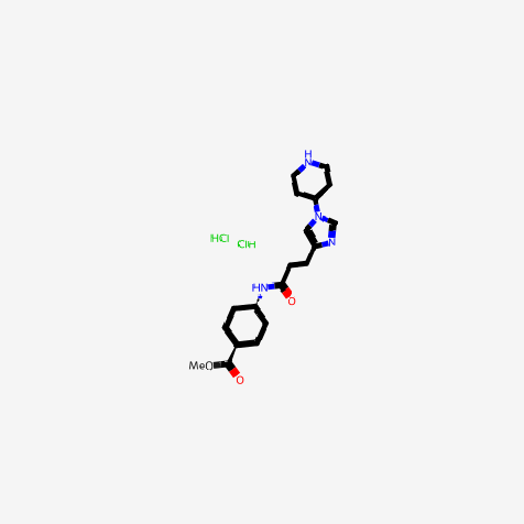 COC(=O)[C@H]1CC[C@H](NC(=O)CCc2cn(C3CCNCC3)cn2)CC1.Cl.Cl